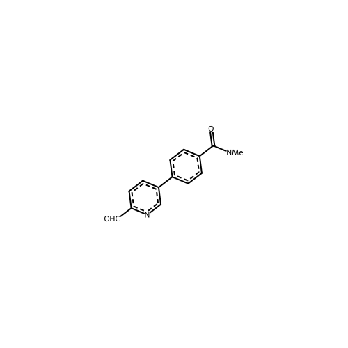 CNC(=O)c1ccc(-c2ccc(C=O)nc2)cc1